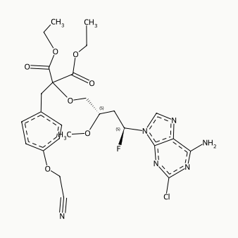 CCOC(=O)C(Cc1ccc(OCC#N)cc1)(OC[C@H](C[C@H](F)n1cnc2c(N)nc(Cl)nc21)OC)C(=O)OCC